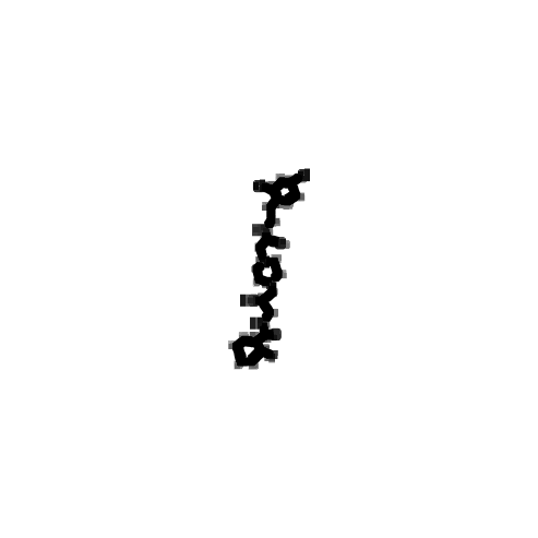 O=C(CN1CCN(CC(O)CNC(=O)c2ccccc2F)CC1)NCCc1ccc(Cl)cc1Cl